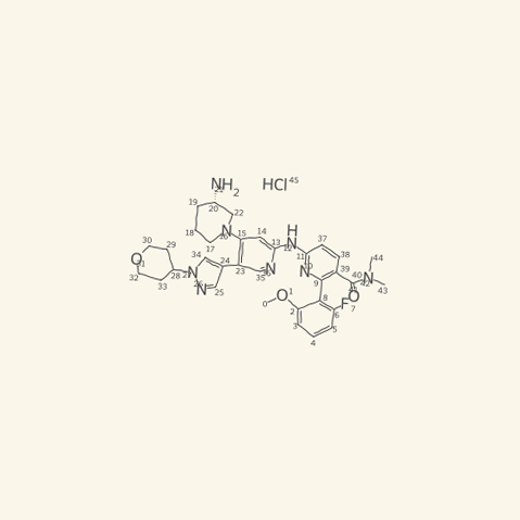 COc1cccc(F)c1-c1nc(Nc2cc(N3CCC[C@H](N)C3)c(-c3cnn(C4CCOCC4)c3)cn2)ccc1C(=O)N(C)C.Cl